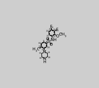 COc1c(NS(=O)(=O)c2ccc(C)c(N3CCNCC3)c2)ccc(F)c1F